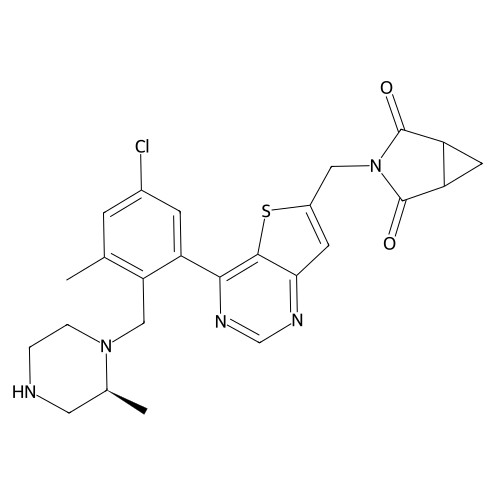 Cc1cc(Cl)cc(-c2ncnc3cc(CN4C(=O)C5CC5C4=O)sc23)c1CN1CCNC[C@@H]1C